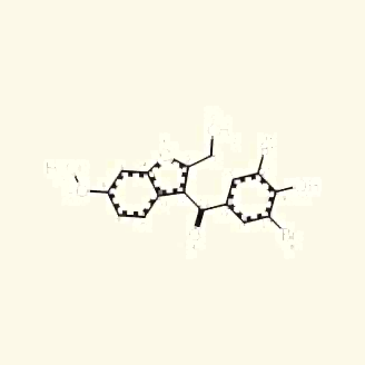 CCc1oc2cc(OC)ccc2c1C(=O)c1cc(Br)c(O)c(Br)c1